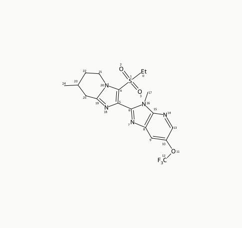 CCS(=O)(=O)c1c(-c2nc3cc(OC(F)(F)F)cnc3n2C)nc2n1CCC(C)C2